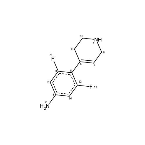 Nc1cc(F)c(C2=CCNCC2)c(F)c1